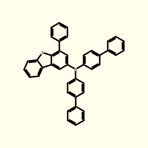 c1ccc(-c2ccc(N(c3ccc(-c4ccccc4)cc3)c3cc(-c4ccccc4)c4sc5ccccc5c4c3)cc2)cc1